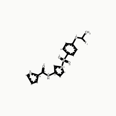 CC(F)Oc1ccc(S(=O)(=O)n2ccc(NC(=O)c3ccco3)c2)cc1